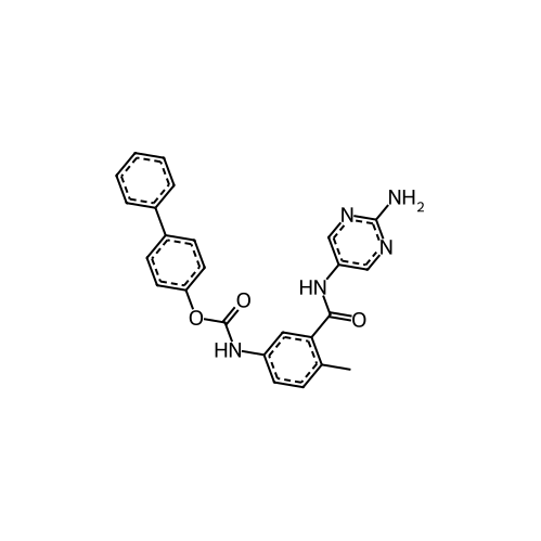 Cc1ccc(NC(=O)Oc2ccc(-c3ccccc3)cc2)cc1C(=O)Nc1cnc(N)nc1